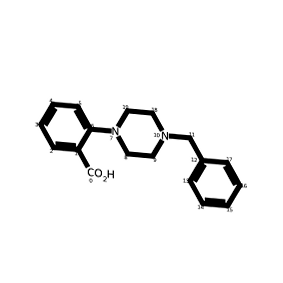 O=C(O)c1ccccc1N1CCN(Cc2ccccc2)CC1